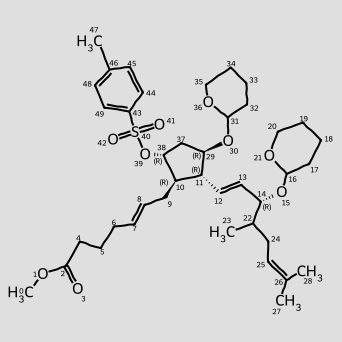 COC(=O)CCCC=CC[C@@H]1[C@@H](C=C[C@H](OC2CCCCO2)C(C)CC=C(C)C)[C@H](OC2CCCCO2)C[C@H]1OS(=O)(=O)c1ccc(C)cc1